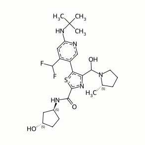 C[C@H]1CCCN1C(O)c1nc(C(=O)N[C@H]2CC[C@H](O)C2)sc1-c1cnc(NC(C)(C)C)cc1C(F)F